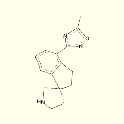 Cc1nc(-c2cccc3c2CCC32CCNC2)no1